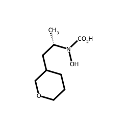 C[C@@H](CC1CCCOC1)N(O)C(=O)O